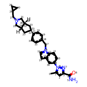 Cc1cc(C(N)=O)nn1-c1ccc2c(ccn2Cc2ccc([C@H]3C[C@@H]4CN(CC5CC5)C[C@@H]4C3)cc2)c1